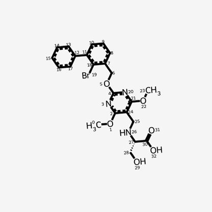 COc1nc(OCc2cccc(-c3ccccc3)c2Br)nc(OC)c1CN[C@@H](CO)C(=O)O